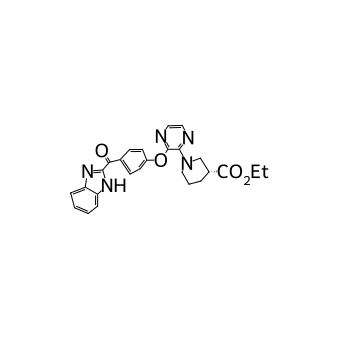 CCOC(=O)[C@@H]1CCCN(c2nccnc2Oc2ccc(C(=O)c3nc4ccccc4[nH]3)cc2)C1